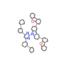 c1ccc(-c2cccc(-c3cc(-c4cccc(-c5ccccc5)c4)nc(-n4c5ccc(-c6cccc7c6oc6ccccc67)cc5c5cc(-c6cccc7c6oc6ccccc67)ccc54)n3)c2)cc1